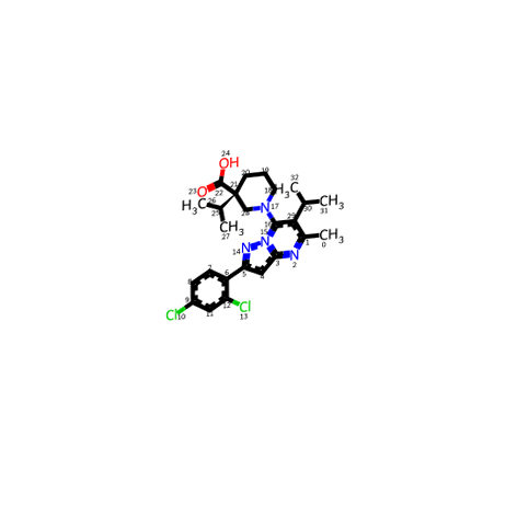 Cc1nc2cc(-c3ccc(Cl)cc3Cl)nn2c(N2CCC[C@](C(=O)O)(C(C)C)C2)c1C(C)C